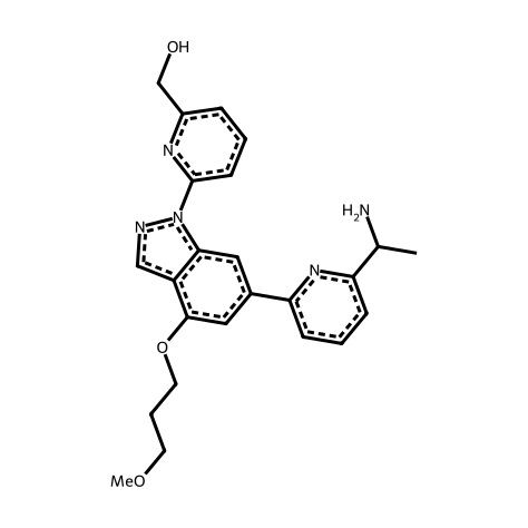 COCCCOc1cc(-c2cccc(C(C)N)n2)cc2c1cnn2-c1cccc(CO)n1